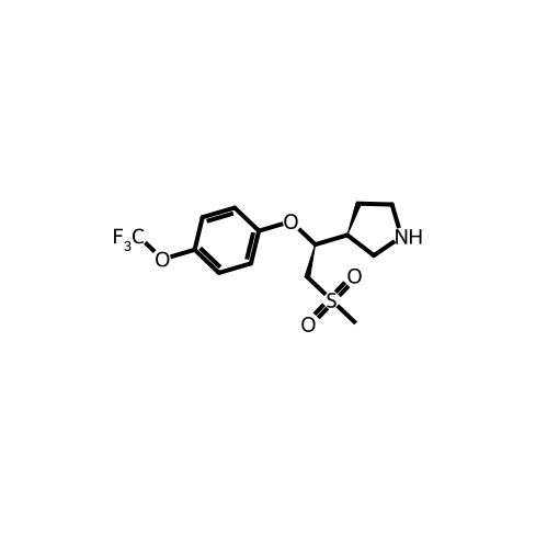 CS(=O)(=O)C[C@@H](Oc1ccc(OC(F)(F)F)cc1)[C@H]1CCNC1